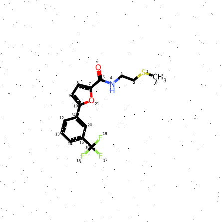 CSCCNC(=O)c1ccc(-c2cccc(C(F)(F)F)c2)o1